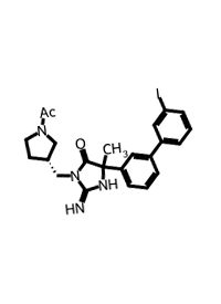 CC(=O)N1CC[C@@H](CN2C(=N)NC(C)(c3cccc(-c4cccc(I)c4)c3)C2=O)C1